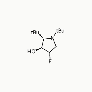 CC(C)(C)[C@@H]1[C@H](O)[C@@H](F)CN1C(C)(C)C